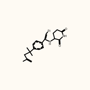 C=C(C)CC(C)(C)c1ccc(/C(=C/CC)NC2CCC(=O)NC2=O)cc1